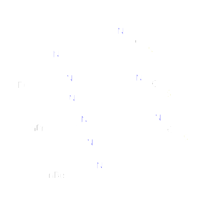 CCCCc1cnc(-c2ccc(N=C=S)cc2)nc1.CCCc1cnc(-c2ccc(N=C=S)cc2)nc1.CCc1cnc(-c2ccc(N=C=S)cc2)nc1